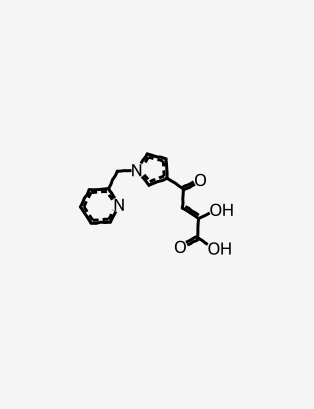 O=C(O)/C(O)=C/C(=O)c1ccn(Cc2ccccn2)c1